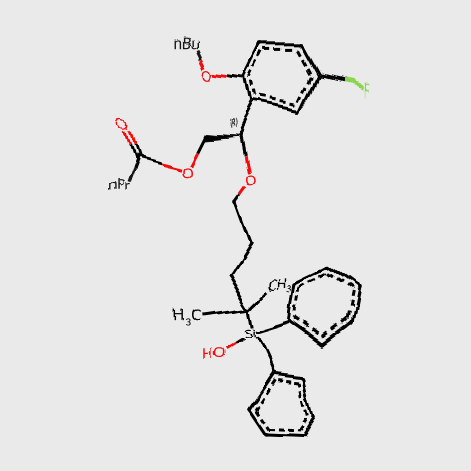 CCCCOc1ccc(F)cc1[C@H](COC(=O)CCC)OCCCC(C)(C)[Si](O)(c1ccccc1)c1ccccc1